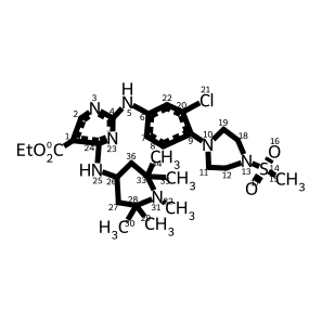 CCOC(=O)c1cnc(Nc2ccc(N3CCN(S(C)(=O)=O)CC3)c(Cl)c2)nc1NC1CC(C)(C)N(C)C(C)(C)C1